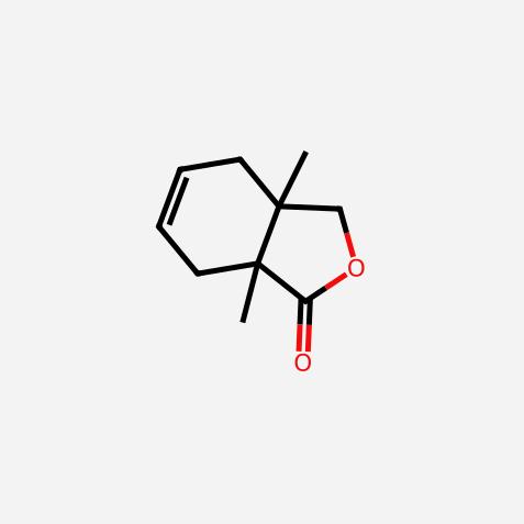 CC12CC=CCC1(C)C(=O)OC2